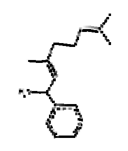 CC(C)=CCC/C(C)=C/C(N)c1ccccc1